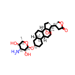 C[C@@H]1O[C@@H](O[C@H]2CC[C@@]3(C)[C@H](CC[C@@H]4[C@@H]3CC[C@]3(C)[C@@H]([C@@H]5COC(=O)C5)CC[C@]43O)C2)[C@H](O)[C@H](N)[C@H]1O